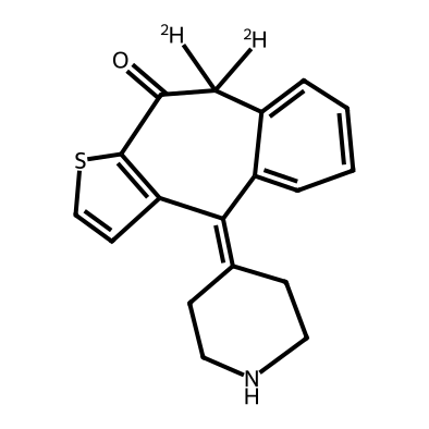 [2H]C1([2H])C(=O)c2sccc2C(=C2CCNCC2)c2ccccc21